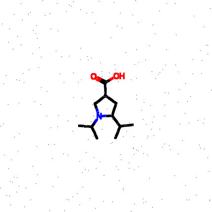 CC(C)C1CC(C(=O)O)CN1C(C)C